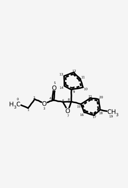 CCCOC(=O)C1OC1(c1ccccc1)c1ccc(C)cc1